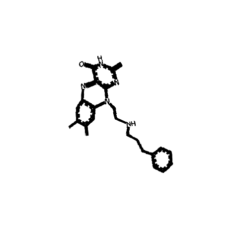 C=c1nc2c(c(=O)[nH]1)=Nc1cc(C)c(C)cc1N2CCNCCCc1ccccc1